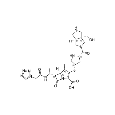 CC(NC(=O)Cn1cnnn1)[C@H]1C(=O)N2C(C(=O)O)=C(S[C@@H]3CN[C@H](C(=O)N4C[C@H]5CNC[C@@]5(CO)C4)C3)[C@H](C)[C@H]12